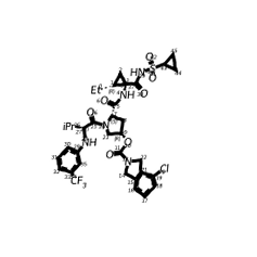 CC[C@@H]1C[C@]1(NC(=O)[C@@H]1C[C@@H](OC(=O)N2Cc3cccc(Cl)c3C2)CN1C(=O)[C@@H](Nc1cccc(C(F)(F)F)c1)C(C)C)C(=O)NS(=O)(=O)C1CC1